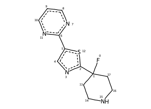 FC1(c2ncc(-c3ncccn3)s2)CCNCC1